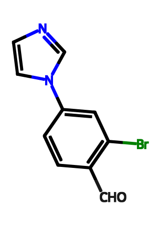 O=Cc1ccc(-n2ccnc2)cc1Br